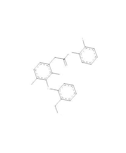 CC(C)c1ccccc1OC(=O)Cc1ccc(Cl)c(Nc2ccccc2CC(C)(C)C)c1Cl